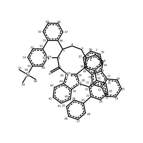 C=C1C2C(CCc3ccc4c(oc5ccccc54)c3-c3n(-c4c(-c5ccccc5)cccc4-c4ccccc4)c4ccccc4[n+]31)c1ccccc1-c1ccc([Si](C)(C)C)c[n+]12